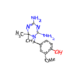 COc1cc(CN2C(N)=NC(N)=NC2(C)C)ccc1O